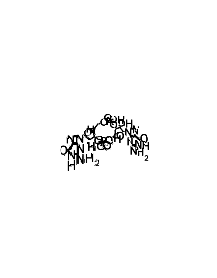 Nc1nc2c(ncn2[C@@H]2O[C@@H]3COP(=O)(O)OC4C[C@H](n5cnc6c(=O)[nH]c(N)nc65)O[C@@H]4CCOP(=O)(O)OC3[C@@H]2O)c(=O)[nH]1